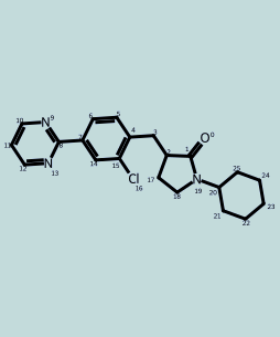 O=C1C(Cc2ccc(-c3ncccn3)cc2Cl)CCN1C1CCCCC1